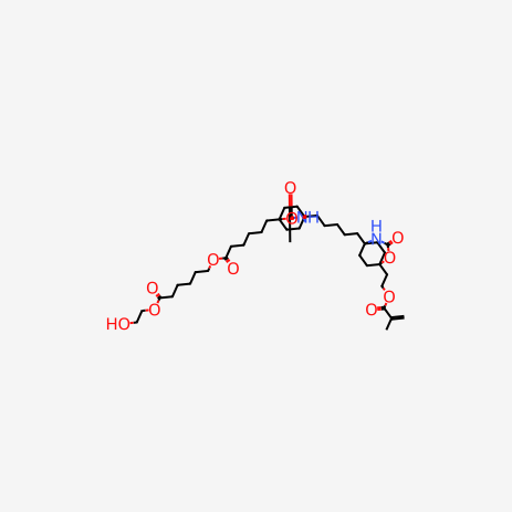 C=C(C)C(=O)OCCC12CCC(CCCCCC34CCC(CCCCCC(=O)OCCCCCC(=O)OCCO)(CC3)OC(=O)N4)(CC1)NC(=O)O2